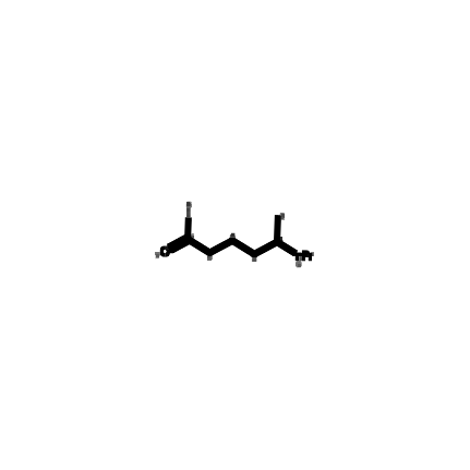 CCCC(C)CCCC(=O)I